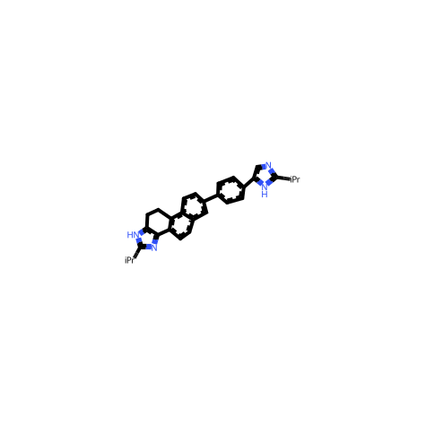 CC(C)c1ncc(-c2ccc(-c3ccc4c5c(ccc4c3)-c3nc(C(C)C)[nH]c3CC5)cc2)[nH]1